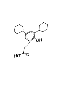 O=C(O)CCc1cc(C2CCCCC2)cc(C2CCCCC2)c1O